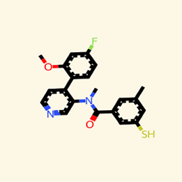 COc1cc(F)ccc1-c1ccncc1N(C)C(=O)c1cc(C)cc(S)c1